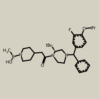 CB(O)N1CCC(CC(=O)N2CCN(C(c3ccccc3)c3ccc(OC(C)C)c(F)c3)C[C@@H]2C(C)(C)C)CC1